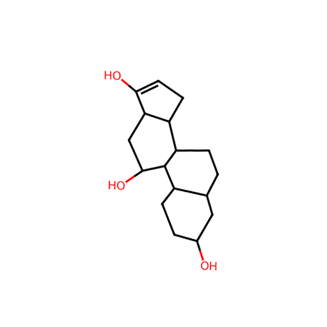 OC1=CCC2C1CC(O)C1C3CCC(O)CC3CCC21